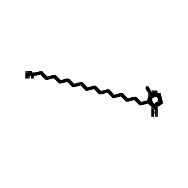 CC(C)CCCCCCCCCCCCCCCCc1[nH]cc[n+]1C